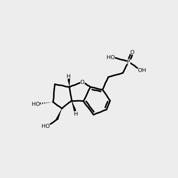 O=P(O)(O)CCc1cccc2c1O[C@H]1C[C@@H](O)[C@H](CO)[C@@H]21